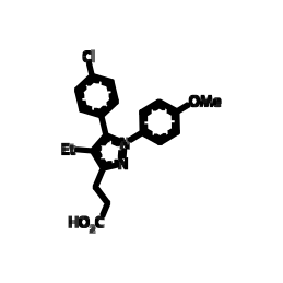 CCc1c(CCC(=O)O)nn(-c2ccc(OC)cc2)c1-c1ccc(Cl)cc1